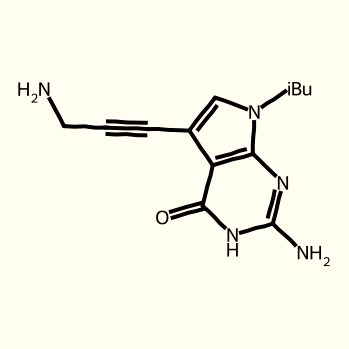 CCC(C)n1cc(C#CCN)c2c(=O)[nH]c(N)nc21